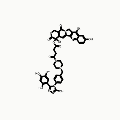 CCc1c2c(nc3ccc(O)cc13)-c1cc3c(c(=O)n1C2)COC(=O)C3(CC)OC(=O)CCC(=O)N1CCN(Cc2ccc(-n3c(O)nnc3-c3cc(C(C)C)c(O)cc3O)cc2)CC1